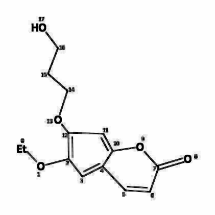 CCOc1cc2ccc(=O)oc2cc1OCCCO